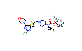 CN(C(=O)OC(C)(C)C)C1CCN(Cc2cc3nc(Cl)nc(N4CCOCC4)c3s2)CC1